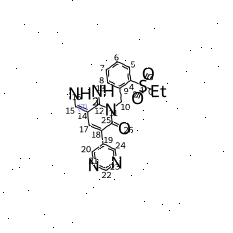 CCS(=O)(=O)c1ccccc1CN1C(=N)/C(=C\N)C=C(c2cncnc2)C1=O